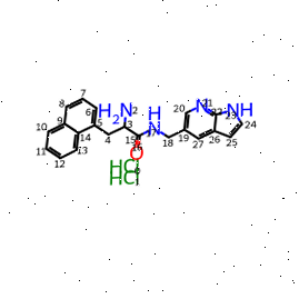 Cl.Cl.NC(Cc1cccc2ccccc12)C(=O)NCc1cnc2[nH]ccc2c1